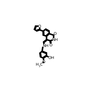 COc1ccc(CNC=C2C(=O)NC(=O)c3ccc(-c4ccco4)cc32)cc1O